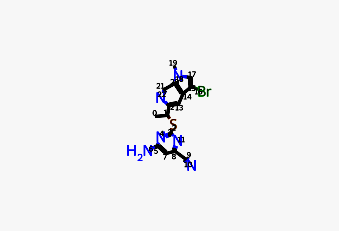 CC(Sc1nc(N)cc(C#N)n1)c1cc2c(Br)cn(C)c2cn1